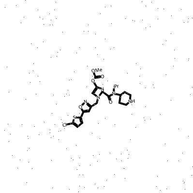 COC(=O)Oc1cn(Cc2cc(-c3ccc(Cl)s3)on2)c(C(=O)N(C(C)C)C2CCNCC2)n1